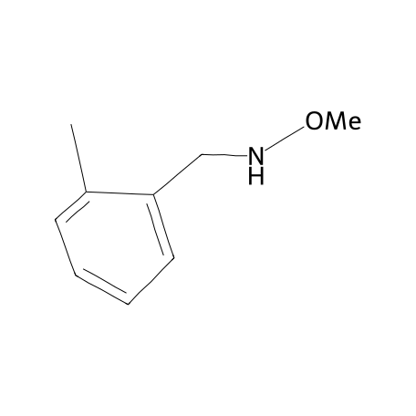 CONCc1ccccc1C